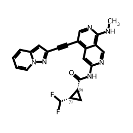 CNc1ncc(C#Cc2cc3ccccn3n2)c2cc(NC(=O)[C@@H]3C[C@@H]3C(F)F)ncc12